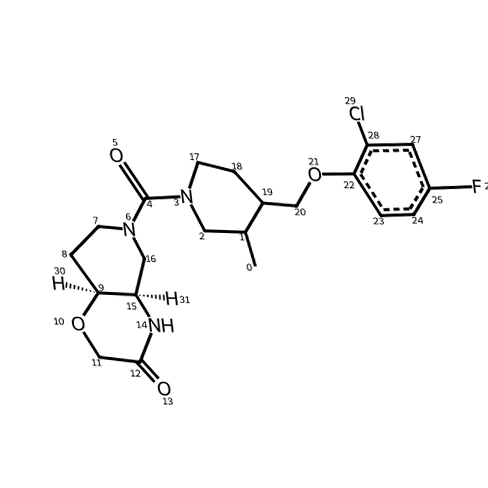 CC1CN(C(=O)N2CC[C@@H]3OCC(=O)N[C@@H]3C2)CCC1COc1ccc(F)cc1Cl